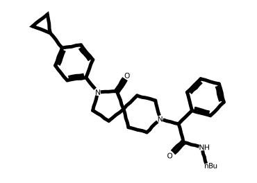 CCCCNC(=O)C(c1ccccc1)N1CCC2(CCN(c3ccc(C4CC4)cc3)C2=O)CC1